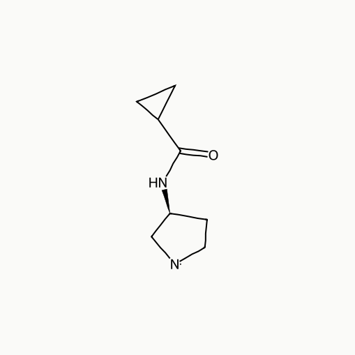 O=C(N[C@H]1CC[N]C1)C1CC1